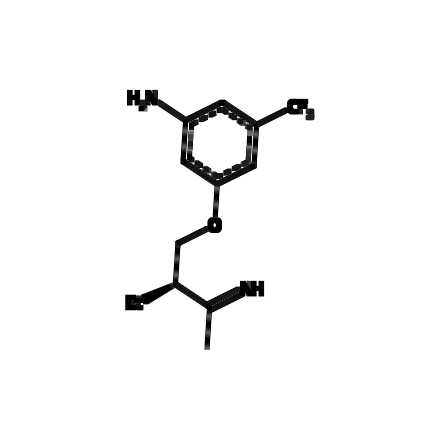 CC[C@@H](COc1cc(N)cc(C(F)(F)F)c1)C(C)=N